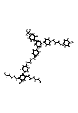 CCCCCCc1cc(-c2ccc(CCCCc3ccc(-c4nc(-c5ccc(CCCCc6ccc(C)cc6)cc5)nc(-c5ccc(C(C)(C)C)cc5)n4)cc3)cc2)c(CCCCCC)cc1C